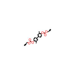 C#CCOC(=O)Oc1ccc(-c2ccc(OC(=O)OCC#C)c(C)c2)cc1C